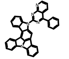 c1ccc(-c2nc(-n3c4ccccc4c4c5c6ccccc6n6c7ccccc7c(cc43)c56)nc3ncccc23)cc1